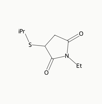 CCN1C(=O)CC(SC(C)C)C1=O